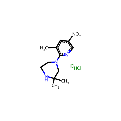 Cc1cc([N+](=O)[O-])cnc1N1CCNC(C)(C)C1.Cl.Cl